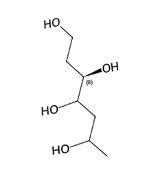 CC(O)CC(O)[C@H](O)CCO